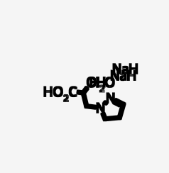 O.O=C(O)C(O)CN1CCC=N1.[NaH].[NaH]